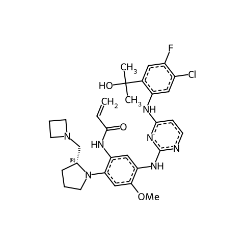 C=CC(=O)Nc1cc(Nc2nccc(Nc3cc(Cl)c(F)cc3C(C)(C)O)n2)c(OC)cc1N1CCC[C@@H]1CN1CCC1